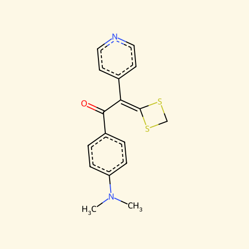 CN(C)c1ccc(C(=O)C(=C2SCS2)c2ccncc2)cc1